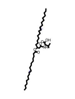 CCCCCCCC/C=C/CCCCCCCC(=O)OC(CCCCCCC/C=C/CCCCCCCC)CC(=O)N[C@H](C(=O)O)C(C)C